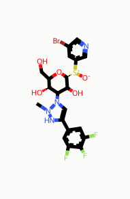 CN1NC(c2cc(F)c(F)c(F)c2)=CN1C1C(O)[C@@H]([S+]([O-])c2cncc(Br)c2)OC(CO)[C@@H]1O